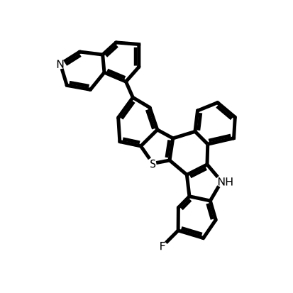 Fc1ccc2[nH]c3c4ccccc4c4c5cc(-c6cccc7cnccc67)ccc5sc4c3c2c1